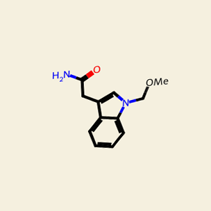 COCn1cc(CC(N)=O)c2ccccc21